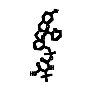 CC(C)(Cc1cccc(CN(Cc2ccc(Br)cc2)S(=O)(=O)c2ccccn2)n1)OC(=O)NC(C(=O)O)C(C)(C)C